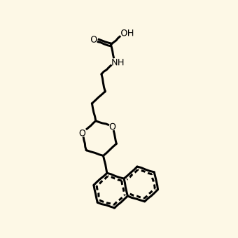 O=C(O)NCCCC1OCC(c2cccc3ccccc23)CO1